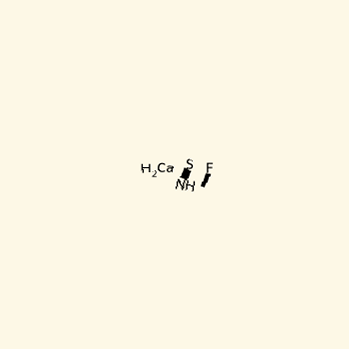 CF.N=S.[CaH2]